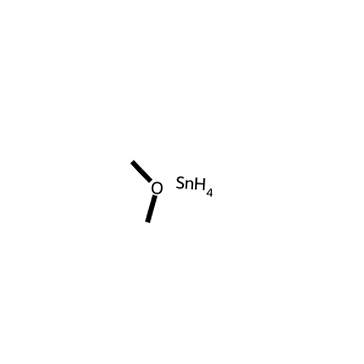 COC.[SnH4]